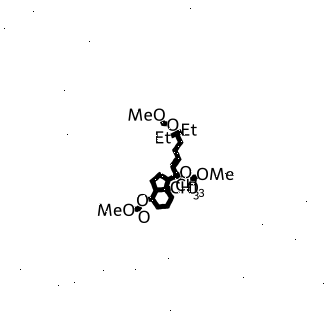 CCC(CC)(CCC=C[C@](C)(OC(=O)OC)C1CCC2C(OC(=O)OC)CCCC21C)OCOC